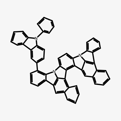 c1ccc(-n2c3ccccc3c3cc(-c4cccc5c6cc7ccccc7c7c8c9c%10cc%11ccccc%11c%11c%12ccccc%12n(c9ccc8n(c45)c67)c%10%11)ccc32)cc1